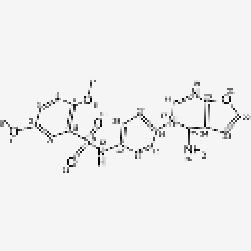 COc1ccc(OC)c(S(=O)(=O)Nc2ccc(N3C=Nc4occc4C3N)cc2)c1